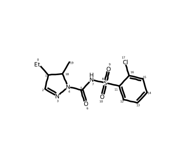 CCC1C=NN(C(=O)NS(=O)(=O)c2ccccc2Cl)C1C